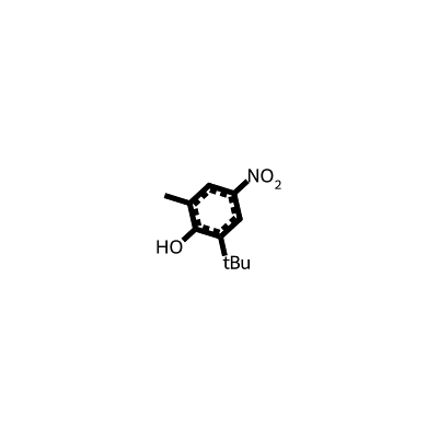 Cc1cc([N+](=O)[O-])cc(C(C)(C)C)c1O